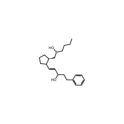 CCCCB(O)C[C@@H]1CCCC1/C=C/C(O)CCc1ccccc1